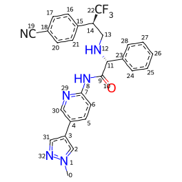 Cn1cc(-c2ccc(NC(=O)[C@H](NC[C@@H](c3ccc(C#N)cc3)C(F)(F)F)c3ccccc3)nc2)cn1